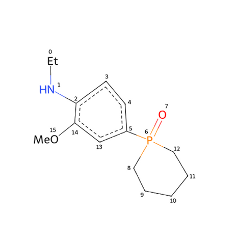 CCNc1ccc(P2(=O)CCCCC2)cc1OC